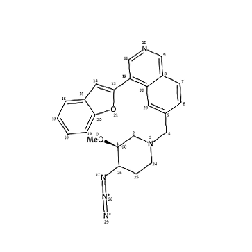 CO[C@H]1CN(Cc2ccc3cncc(-c4cc5ccccc5o4)c3c2)CCC1N=[N+]=[N-]